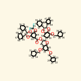 O=C(O[C@@H]1Cc2c(OCc3ccccc3)cc(OCc3ccccc3)cc2O[C@H]1c1cc(OCc2ccccc2)c(OCc2ccccc2)c(OCc2ccccc2)c1)c1cc(OCc2ccccc2)c(OCc2ccccc2)c(OC(F)F)c1